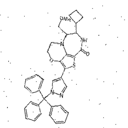 COCC1C(C2CCC2)NC(=O)c2sc(-c3cnn(C(c4ccccc4)(c4ccccc4)c4ccccc4)c3)c3c2N1CCO3